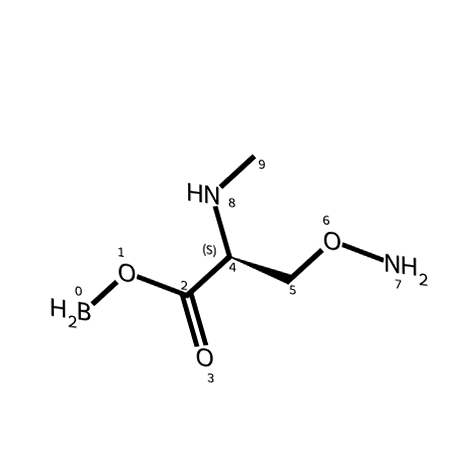 BOC(=O)[C@H](CON)NC